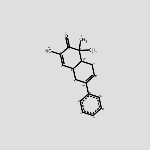 CC1(C)C(=O)C(C#N)=CC2CC(c3ccccc3)=CCC21